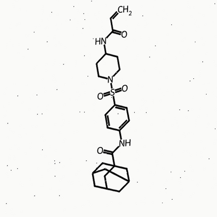 C=CC(=O)NC1CCN(S(=O)(=O)c2ccc(NC(=O)C34CC5CC(CC(C5)C3)C4)cc2)CC1